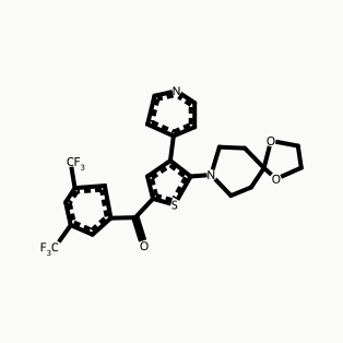 O=C(c1cc(C(F)(F)F)cc(C(F)(F)F)c1)c1cc(-c2ccncc2)c(N2CCC3(CC2)OCCO3)s1